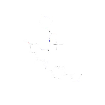 Cc1ncsc1-c1ccc(CNC(=O)[C@@H]2C[C@@H](O)CN2C(=O)[C@@H](NC(=O)[C@@H]2CNCCO2)C(C)(C)C)cc1.Cl